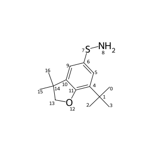 CC(C)(C)c1cc(SN)cc2c1OCC2(C)C